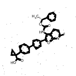 C[C@@H](OC(=O)Nc1c(-c2ccc(-c3ccc(C4(C(=O)O)CC4)cc3)cc2)oc2nc(F)ccc12)c1ccccc1